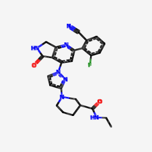 CCNC(=O)C1CCCN(c2ccn(-c3cc(-c4c(F)cccc4C#N)nc4c3C(=O)NC4)n2)C1